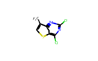 FC(F)(F)c1csc2c(Cl)nc(Cl)nc12